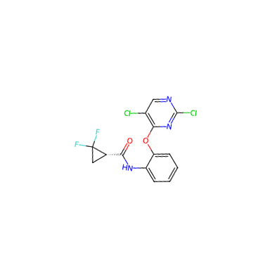 O=C(Nc1ccccc1Oc1nc(Cl)ncc1Cl)[C@@H]1CC1(F)F